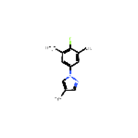 Cc1cnn(-c2cc(C)c(F)c(C(=O)O)c2)c1